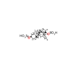 C[C@]12CC[C@H]3[C@@H](CCC4=C[C@@H](OS(=O)(=O)O)CC[C@@]43C)[C@@H]1CC[C@@H]2OS(=O)(=O)O